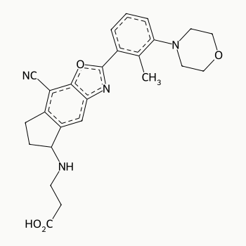 Cc1c(-c2nc3cc4c(c(C#N)c3o2)CCC4NCCC(=O)O)cccc1N1CCOCC1